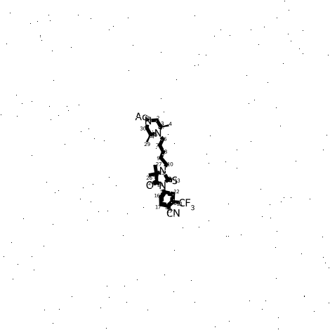 CC(=O)N1C[C@@H](C)N(CCCCCN2C(=S)N(c3ccc(C#N)c(C(F)(F)F)c3)C(=O)C2(C)C)[C@@H](C)C1